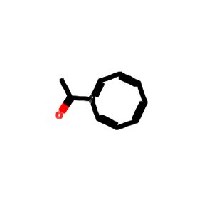 CC(=O)[Si]1=CC=CC=CC=C1